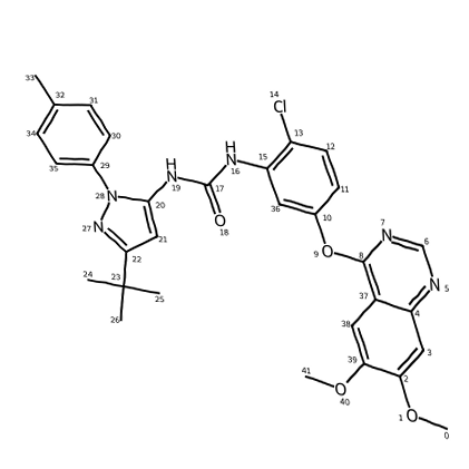 COc1cc2ncnc(Oc3ccc(Cl)c(NC(=O)Nc4cc(C(C)(C)C)nn4-c4ccc(C)cc4)c3)c2cc1OC